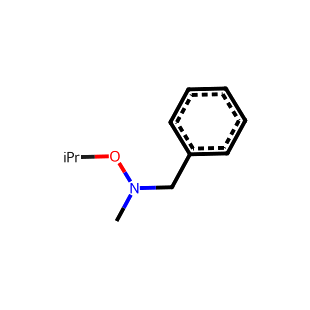 CC(C)ON(C)Cc1ccccc1